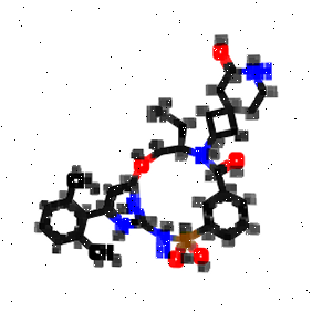 Cc1cccc(C)c1-c1cc2nc(n1)NS(=O)(=O)c1cccc(c1)C(=O)N(C1CC3(CCNC(=O)C3)C1)[C@H](CC(C)C)CO2